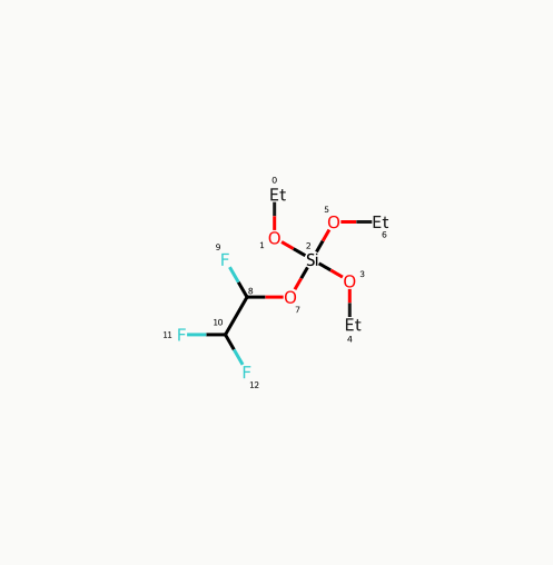 CCO[Si](OCC)(OCC)OC(F)C(F)F